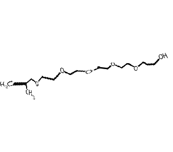 C=C(C)COCCOCCOCCOCCOCCO